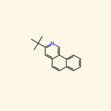 CC(C)(C)c1cc2ccc3ccccc3c2cn1